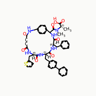 C[C@@H](C(=O)O)N(C)C(=O)C1NC(=O)[C@@H](Cc2ccccc2)NC(=O)[C@H](Cc2ccc(-c3ccccc3)cc2)NC(=O)[C@@H](Cc2cccs2)NC(=O)CCC(=O)Nc2ccc1cc2